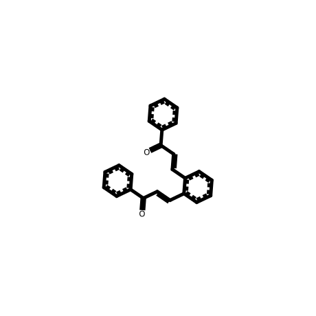 O=C(C=Cc1ccccc1C=CC(=O)c1ccccc1)c1ccccc1